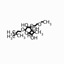 CCOCCO[C@@H]1[C@@H](O)C(OCC[Si](C)(C)C)O[C@@H]2C(O)C(C)[C@@]21O